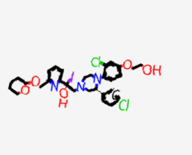 OCCOc1ccc(N2CCN(C[C@](O)(I)c3cccc(COC4CCCCO4)n3)C[C@H]2c2ccc(Cl)cc2)c(Cl)c1